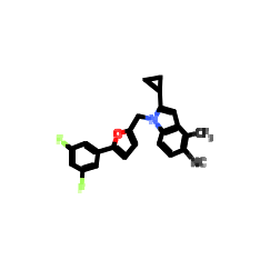 [C-]#[N+]c1ccc2c(cc(C3CC3)n2Cc2ccc(-c3cc(F)cc(F)c3)o2)c1C(F)(F)F